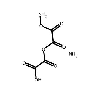 N.NOC(=O)C(=O)OC(=O)C(=O)O